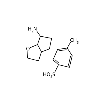 Cc1ccc(S(=O)(=O)O)cc1.NC1CCC2CCOC12